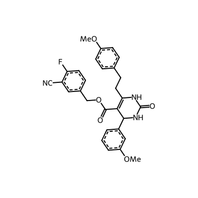 COc1ccc(CCC2=C(C(=O)OCc3ccc(F)c(C#N)c3)C(c3cccc(OC)c3)NC(=O)N2)cc1